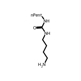 CCCCCNC(=O)NCCCCN